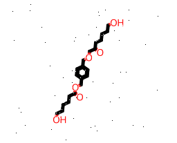 O=C(CCCCCO)COCc1ccc(COC(=O)CCCCCO)cc1